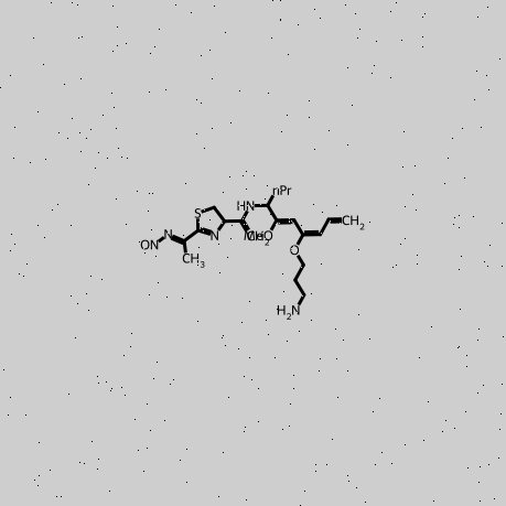 C=C/C=C(\C=C(/OC)C(CCC)NC(=C)C1CSC(/C(C)=N/N=O)=N1)OCCCN